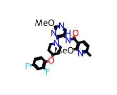 COc1ncc(NC(=O)c2ccc(C)nc2OC)c(N2CCC(Oc3ccc(F)cc3F)CC2)n1